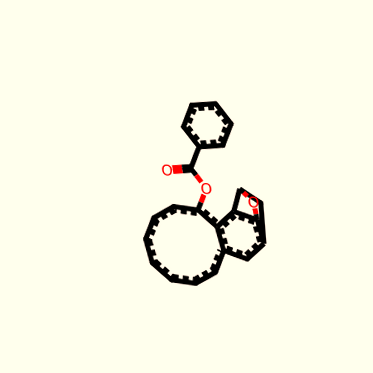 O=C(Oc1cccccccc2cc3c4c(c12)C(C3)O4)c1ccccc1